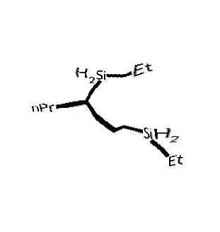 CCCC(C[SiH2]CC)[SiH2]CC